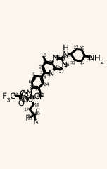 Cc1cc(-c2ccc(N(OC(=O)C(F)(F)F)S(=O)(=O)CCC(C)(F)F)c(F)c2)nc2cnc(NC3CCC(N)CC3)nc12